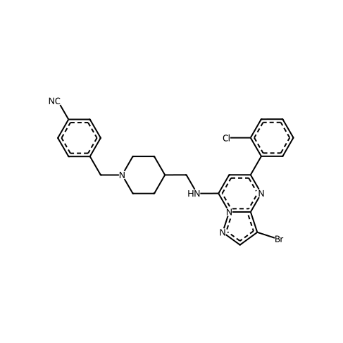 N#Cc1ccc(CN2CCC(CNc3cc(-c4ccccc4Cl)nc4c(Br)cnn34)CC2)cc1